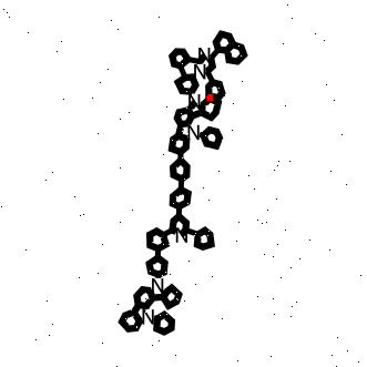 c1ccc(-c2cc(-c3ccc(-c4ccc(-c5ccc6c7ccc8c(c9ccccc9n8-c8ccc(-c9ccccc9-c9nc(-c%10ccccc%10)cc(-c%10cccc%11ccccc%10%11)n9)cc8)c7n(-c7ccccc7)c6c5)cc4)cc3)cc(-c3cccc(-c4ccc(-n5c6ccccc6c6c5ccc5c7ccccc7n(-c7ccccc7)c56)cc4)c3)n2)cc1